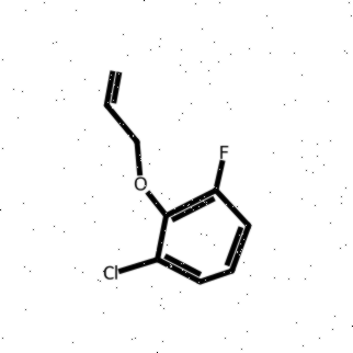 C=CCOc1c(F)cccc1Cl